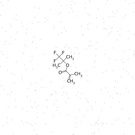 C=C(C)C(=O)OC(C)(C)C(F)(F)F